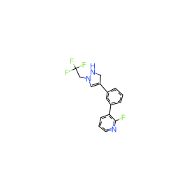 Fc1ncccc1-c1cccc(C2=CN(CC(F)(F)F)NC2)c1